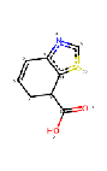 O=C(O)C1CC=Cc2ncsc21